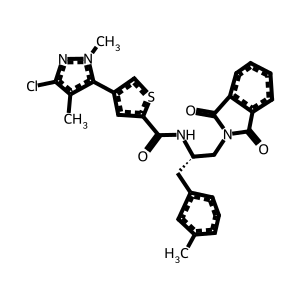 Cc1cccc(C[C@@H](CN2C(=O)c3ccccc3C2=O)NC(=O)c2cc(-c3c(C)c(Cl)nn3C)cs2)c1